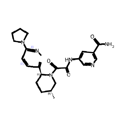 C=C(/C=C\C(=N/C)N1CCCC1)[C@@H]1CC[C@@H](C)CN1C(=O)C(=O)Nc1cncc(C(N)=O)c1